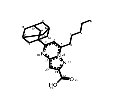 CCCCCc1cc(C23CC4CC(CC(C4)C2)C3)nc2cc(C(=O)O)nn12